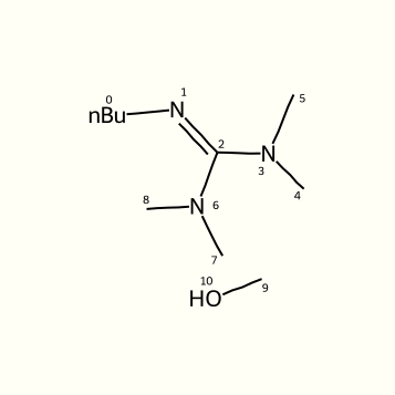 CCCCN=C(N(C)C)N(C)C.CO